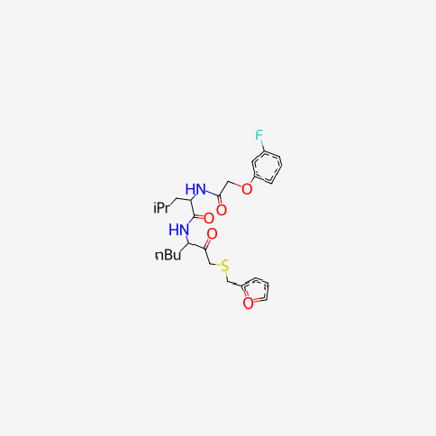 CCCCC(NC(=O)C(CC(C)C)NC(=O)COc1cccc(F)c1)C(=O)CSCc1ccco1